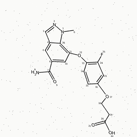 Cn1ncc2cc(C(N)=O)cc(Oc3ccc(OCCC(=O)O)cc3F)c21